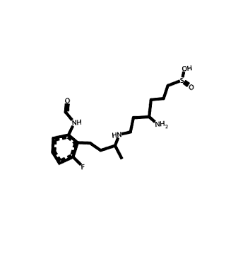 CC(CCc1c(F)cccc1NC=O)NCCC(N)CCCS(=O)O